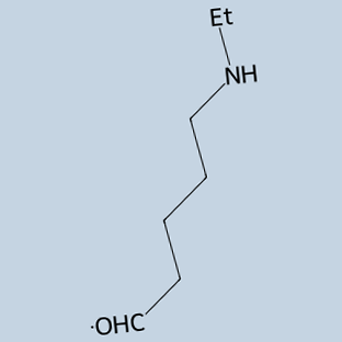 CCNCCCC[C]=O